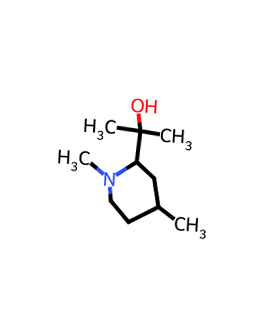 CC1CCN(C)C(C(C)(C)O)C1